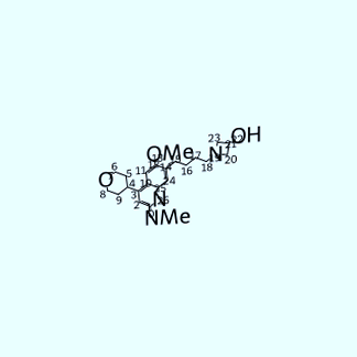 CNc1cc(C2CCOCC2)c2cc(OC)c(CCCCN3CC(O)C3)cc2n1